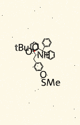 CSCOc1ccc(CC(NC(c2ccccc2)(c2ccccc2)c2ccccc2)C(=O)OC(C)(C)C)cc1